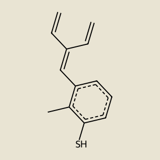 C=CC(C=C)=Cc1cccc(S)c1C